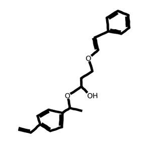 C=Cc1ccc(C(C)OC(O)CCOC=Cc2ccccc2)cc1